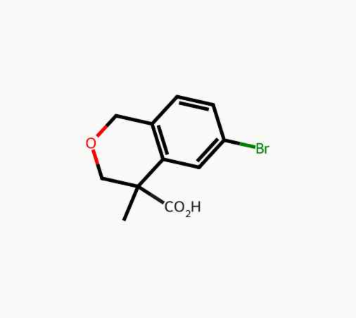 CC1(C(=O)O)COCc2ccc(Br)cc21